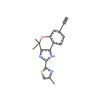 C#Cc1ccc2c(c1)OC(C)(C)c1nc(-c3nc(C)cs3)[nH]c1-2